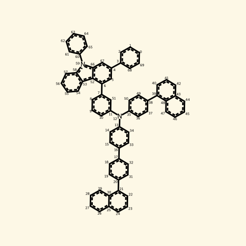 c1ccc(-c2cc(-c3cccc(N(c4ccc(-c5ccc(-c6cccc7ccccc67)cc5)cc4)c4ccc(-c5cccc6ccccc56)cc4)c3)c3c4ccccc4n(-c4ccccc4)c3c2)cc1